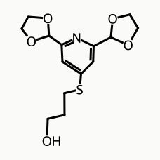 OCCCSc1cc(C2OCCO2)nc(C2OCCO2)c1